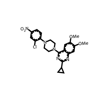 COc1cc2nc(C3CC3)nc(N3CCN(c4ccc([N+](=O)[O-])cc4Cl)CC3)c2cc1OC